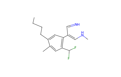 CCCCc1cc(/C(C=N)=C/NC)c(C(F)F)cc1C